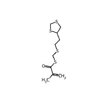 C=C(C)C(=O)SCSCCC1CSCS1